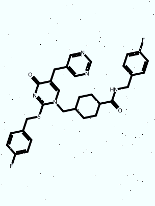 O=C(NCc1ccc(F)cc1)C1CCC(Cn2cc(Cc3cncnc3)c(=O)nc2SCc2ccc(F)cc2)CC1